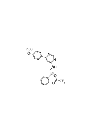 CCCCOc1ccc(-c2cc(NC[C@H](OC(=O)C(F)(F)F)c3ccccc3)ncn2)cc1